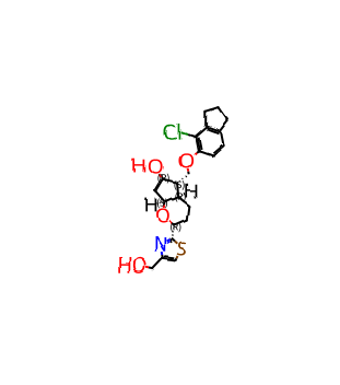 OCc1csc([C@H]2CC[C@@H]3[C@@H](COc4ccc5c(c4Cl)CCC5)[C@H](O)C[C@@H]3O2)n1